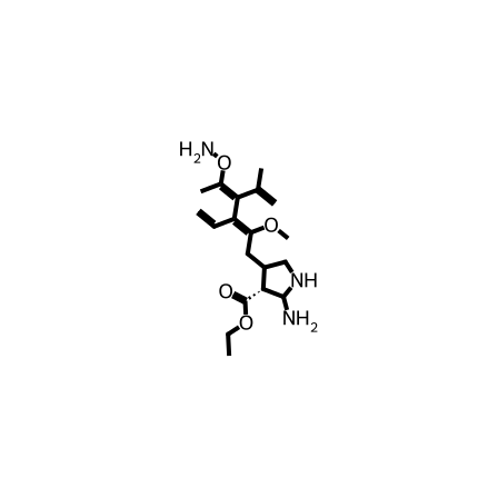 C=CC(=C(\CC1CNC(N)[C@@H]1C(=O)OCC)OC)/C(C(=C)C)=C(\C)ON